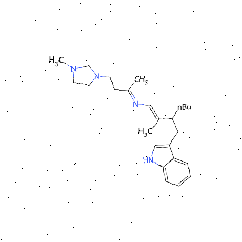 CCCCC(Cc1c[nH]c2ccccc12)/C(C)=C/N=C(\C)CCN1CCN(C)C1